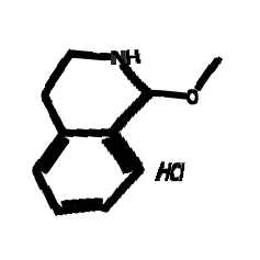 COC1NCCc2ccccc21.Cl